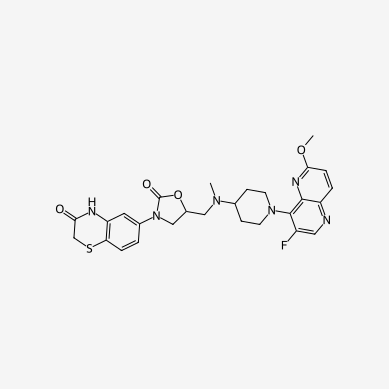 COc1ccc2ncc(F)c(N3CCC(N(C)CC4CN(c5ccc6c(c5)NC(=O)CS6)C(=O)O4)CC3)c2n1